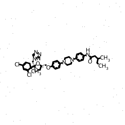 CCC(C)CC(=O)Nc1ccc(N2CCN(c3ccc(OC[C@@H]4CO[C@@](Cn5cnnn5)(C5(C)CC=C(Cl)C=C5Cl)O4)cc3)CC2)cc1